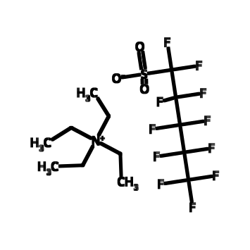 CC[N+](CC)(CC)CC.O=S(=O)([O-])C(F)(F)C(F)(F)C(F)(F)C(F)(F)C(F)(F)F